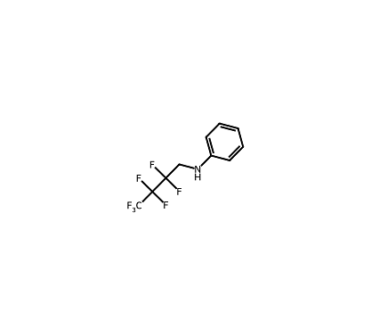 FC(F)(F)C(F)(F)C(F)(F)CNc1ccccc1